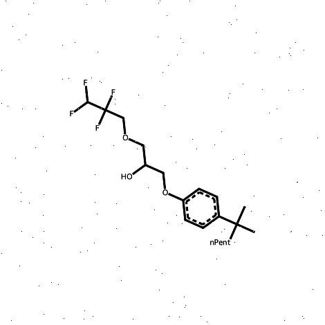 CCCCCC(C)(C)c1ccc(OCC(O)COCC(F)(F)C(F)F)cc1